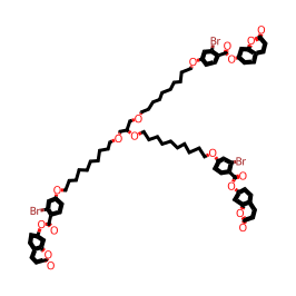 O=C(Oc1ccc2ccc(=O)oc2c1)c1ccc(OCCCCCCCCCCOCC(COCCCCCCCCCCOc2ccc(C(=O)Oc3ccc4ccc(=O)oc4c3)c(Br)c2)OCCCCCCCCCCOc2ccc(C(=O)Oc3ccc4ccc(=O)oc4c3)c(Br)c2)cc1Br